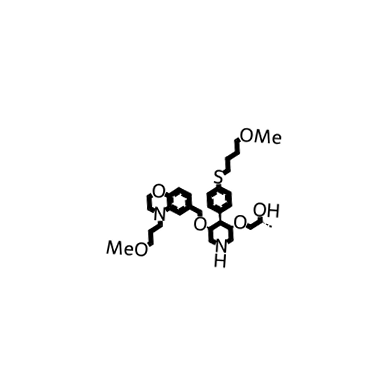 COCCCCSc1ccc([C@@H]2[C@@H](OCc3ccc4c(c3)N(CCCOC)CCO4)CNC[C@H]2OC[C@@H](C)O)cc1